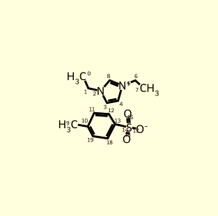 CCn1cc[n+](CC)c1.Cc1ccc(S(=O)(=O)[O-])cc1